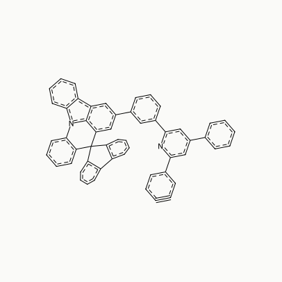 c1ccc(-c2cc(-c3ccccc3)cc(-c3cccc(-c4cc5c6c(c4)c4ccccc4n6-c4ccccc4C54c5ccccc5-c5ccccc54)c3)n2)cc#1